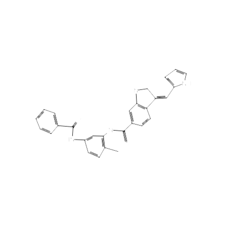 Cc1ccc(NC(=O)c2ccccc2)cc1NC(=O)c1ccc2c(c1)NCC2=Cc1ccc[nH]1